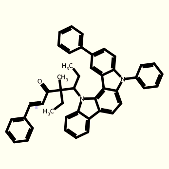 CCC(n1c2ccccc2c2ccc3c(c4cc(-c5ccccc5)ccc4n3-c3ccccc3)c21)C(C)(CC)C(=O)/C=C/c1ccccc1